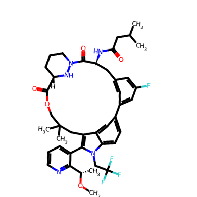 CO[C@@H](C)c1ncccc1-c1c2c3cc(ccc3n1CC(F)(F)F)-c1cc(F)cc(c1)C[C@H](NC(=O)CC(C)C)C(=O)N1CCC[C@H](N1)C(=O)OCC(C)(C)C2